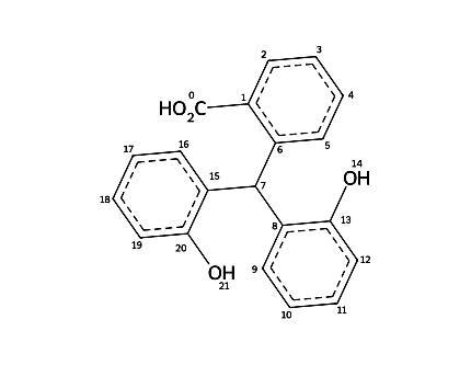 O=C(O)c1ccccc1C(c1ccccc1O)c1ccccc1O